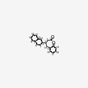 O=C1CC(c2ccc3ccccc3c2)Cc2ccccc2O1